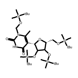 Cc1c([C@@H]2O[C@H](CO[Si](C)(C)C(C)(C)C)C(O[Si](C)(C)C(C)(C)C)C2O[Si](C)(C)C(C)(C)C)c(=O)[nH]c(=O)n1CO[Si](C)(C)C(C)(C)C